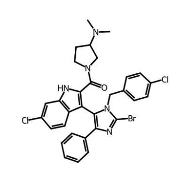 CN(C)C1CCN(C(=O)c2[nH]c3cc(Cl)ccc3c2-c2c(-c3ccccc3)nc(Br)n2Cc2ccc(Cl)cc2)C1